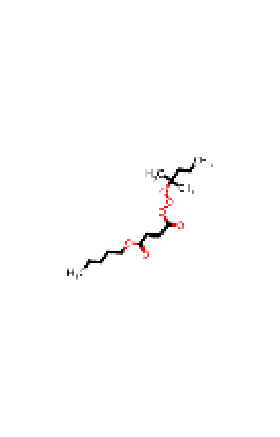 CCCCCOC(=O)C=CC(=O)OOOC(C)(C)CCC